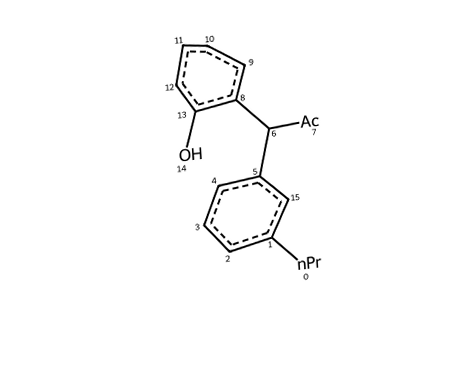 C[CH]Cc1cccc(C(C(C)=O)c2ccccc2O)c1